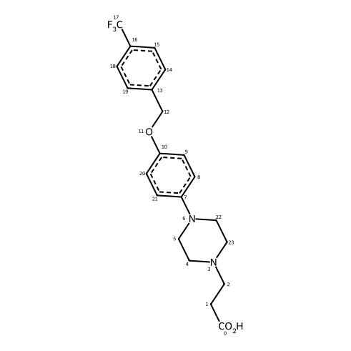 O=C(O)CCN1CCN(c2ccc(OCc3ccc(C(F)(F)F)cc3)cc2)CC1